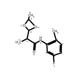 Cc1ccc(F)cc1NC(=O)C(C)C1OC(C)O1